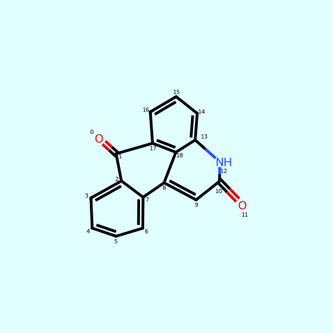 O=C1c2ccccc2-c2cc(=O)[nH]c3cccc1c23